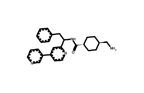 NC[C@H]1CC[C@H](C(=O)NC(Cc2ccccc2)c2cc(-c3cccnc3)ccn2)CC1